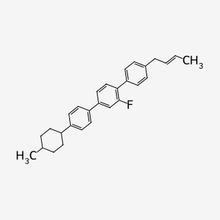 CC=CCc1ccc(-c2ccc(-c3ccc(C4CCC(C)CC4)cc3)cc2F)cc1